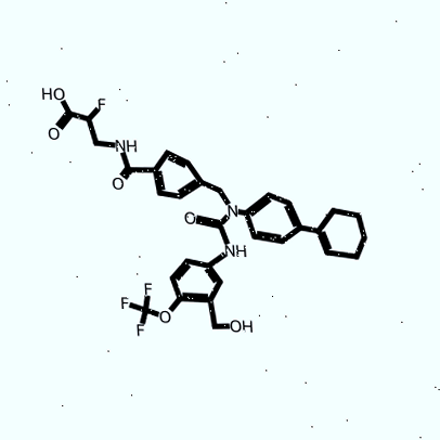 O=C(NCC(F)C(=O)O)c1ccc(CN(C(=O)Nc2ccc(OC(F)(F)F)c(CO)c2)c2ccc(C3=CCCCC3)cc2)cc1